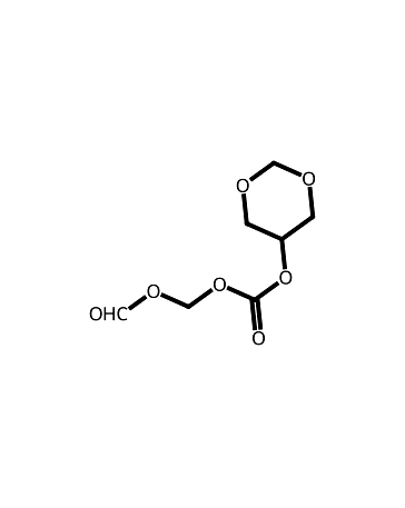 O=COCOC(=O)OC1COCOC1